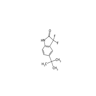 CC(C)(C)c1ccc2c(c1)C(F)(F)C(=O)N2